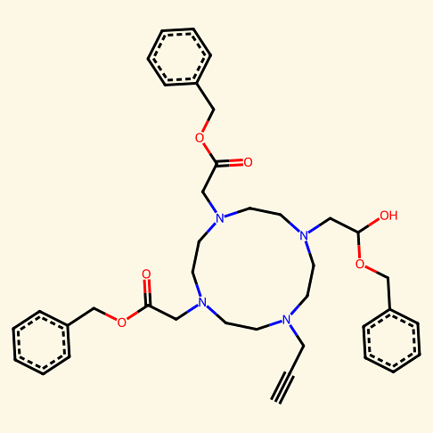 C#CCN1CCN(CC(=O)OCc2ccccc2)CCN(CC(=O)OCc2ccccc2)CCN(CC(O)OCc2ccccc2)CC1